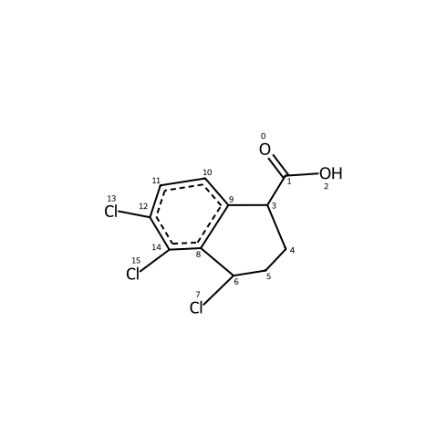 O=C(O)C1CCC(Cl)c2c1ccc(Cl)c2Cl